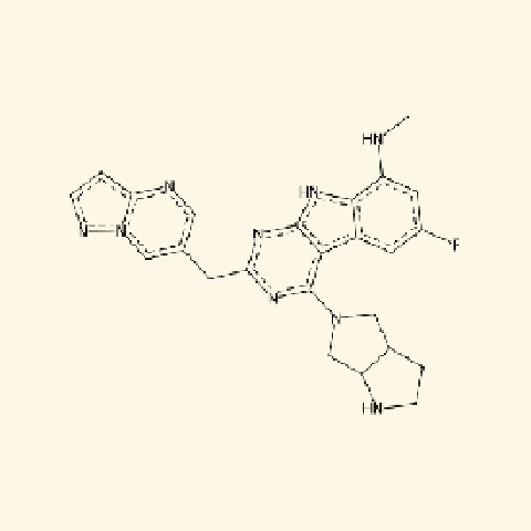 CNc1cc(F)cc2c1[nH]c1nc(Cc3cnc4ccnn4c3)nc(N3CC4CCNC4C3)c12